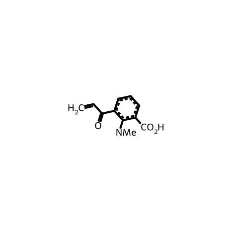 C=CC(=O)c1cccc(C(=O)O)c1NC